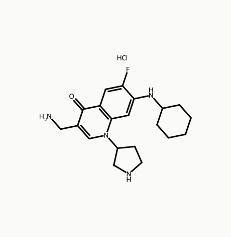 Cl.NCc1cn(C2CCNC2)c2cc(NC3CCCCC3)c(F)cc2c1=O